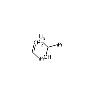 C=CC(C)C.CC(C)C(C)O